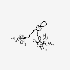 CC(C)(C)C(OC[C@@H]1OC2(CCCCC2)O[C@@H]1/C=C/C=C/C#C[Si](C)(C)C)C(=O)O